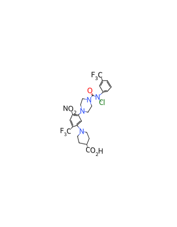 O=C(O)C1CCN(c2cc(N3CCN(C(=O)N(Cl)c4cccc(C(F)(F)F)c4)CC3)c([N+](=O)[O-])cc2C(F)(F)F)CC1